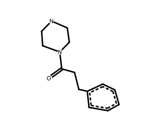 O=C(CCc1ccccc1)N1CC[N]CC1